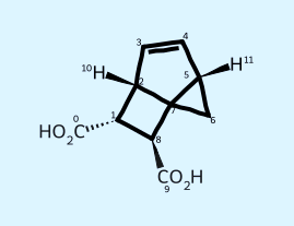 O=C(O)[C@@H]1[C@@H]2C=C[C@@H]3CC32[C@H]1C(=O)O